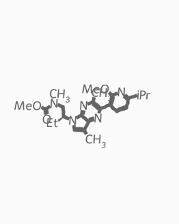 CC[C@@H](CN(C)C(=O)OC)n1cc(C)c2nc(-c3ccc(C(C)C)nc3OC)c(C)nc21